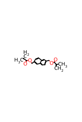 C=C(C)C(=O)OCc1ccc2cc(COC(=O)C(=C)C)ccc2c1